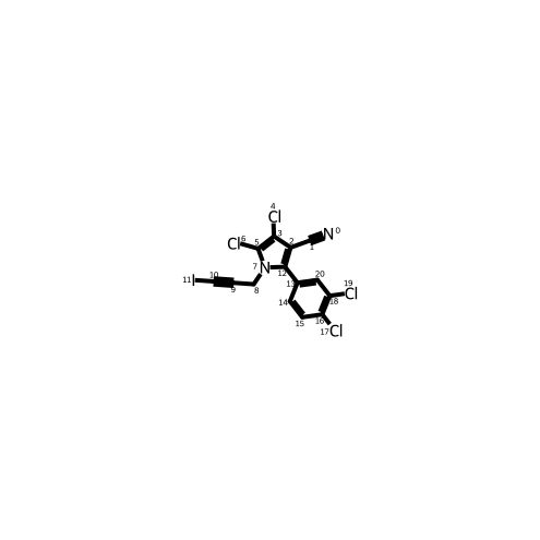 N#Cc1c(Cl)c(Cl)n(CC#CI)c1-c1ccc(Cl)c(Cl)c1